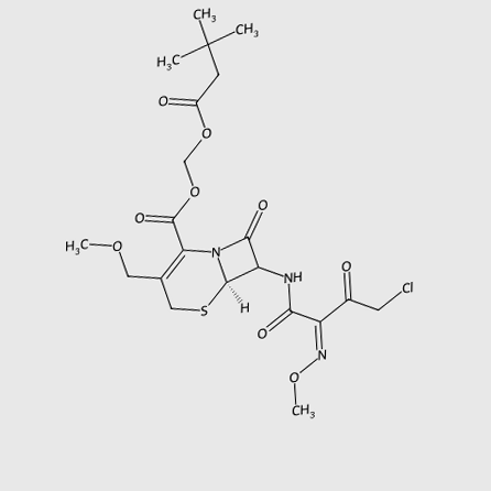 COCC1=C(C(=O)OCOC(=O)CC(C)(C)C)N2C(=O)C(NC(=O)/C(=N\OC)C(=O)CCl)[C@H]2SC1